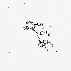 C=C(C(C)C)N(C/C=C(/C)CCC=C(C)C)CCC